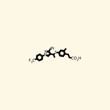 Cc1cc(SC(C)c2cn(-c3ccc(C(F)(F)F)cc3)nc2C(C)C)ccc1CCC(=O)O